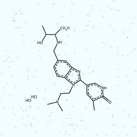 Cc1cc(-c2nc3cc(CNC(C(=O)O)C(C)O)ccc3n2CCN(C)C)c[nH]c1=O.Cl.Cl